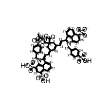 CCNC(=O)C1(C(=O)O)CC(/C=C/C2=[N+](Cc3ccc(S(=O)(=O)O)cc3)c3ccc(S(=O)(=O)[O-])c4cccc2c34)=CC(=C/C=c2\c3cccc4c(S(=O)(=O)O)cc(S(=O)(=O)O)c(c43)n2Cc2ccc(S(=O)(=O)O)cc2)/C1